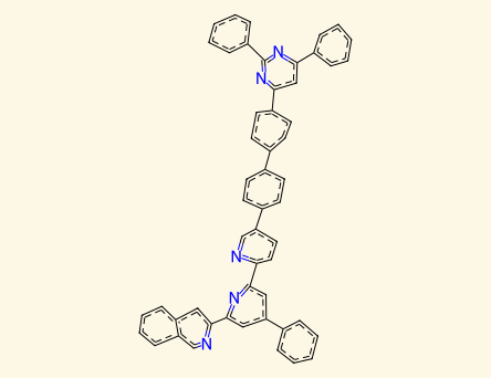 c1ccc(-c2cc(-c3ccc(-c4ccc(-c5ccc(-c6cc(-c7ccccc7)nc(-c7ccccc7)n6)cc5)cc4)cn3)nc(-c3cc4ccccc4cn3)c2)cc1